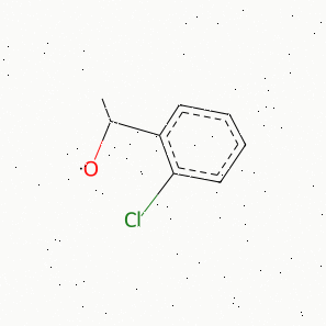 CC([O])c1ccccc1Cl